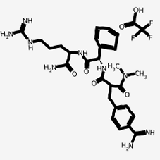 CN(C)C(=O)C(Cc1ccc(C(=N)N)cc1)C(=O)N[C@H](C(=O)NC(CCCNC(=N)N)C(N)=O)c1ccccc1.O=C(O)C(F)(F)F